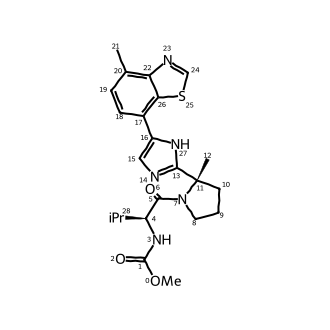 COC(=O)N[C@H](C(=O)N1CCC[C@@]1(C)c1ncc(-c2ccc(C)c3ncsc23)[nH]1)C(C)C